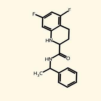 CC(NC(=O)C1CCc2c(F)cc(F)cc2N1)c1ccccc1